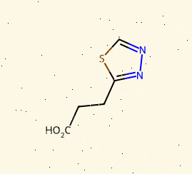 O=C(O)CCc1nn[c]s1